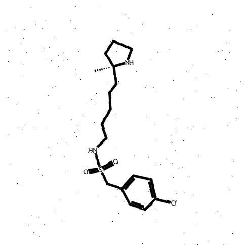 C[C@]1(CCCCCNS(=O)(=O)Cc2ccc(Cl)cc2)CCCN1